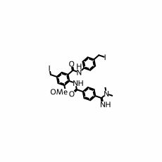 COc1cc(CI)cc(C(=O)Nc2ccc(CI)cc2)c1NC(=O)c1ccc(C(=N)N(C)C)cc1